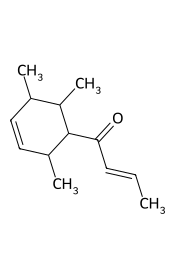 CC=CC(=O)C1C(C)C=CC(C)C1C